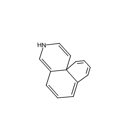 C1=CC2=CC=CC3=CNC=CC23C=C1